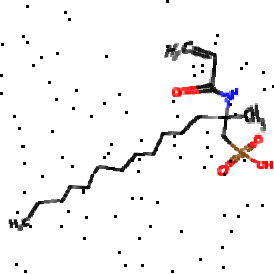 C=CC(=O)NC(C)(CCCCCCCCCCCC)CS(=O)(=O)O